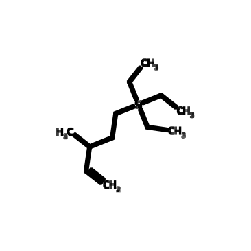 C=CC(C)CC[Si](CC)(CC)CC